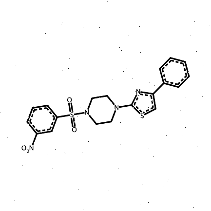 O=[N+]([O-])c1cccc(S(=O)(=O)N2CCN(c3nc(-c4ccccc4)cs3)CC2)c1